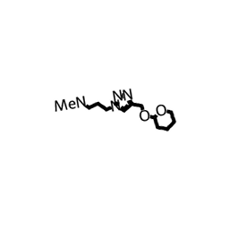 CNCCCn1cc(COC2CCCCO2)nn1